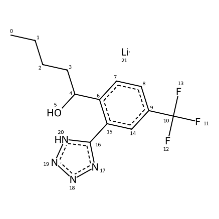 CCCCC(O)c1ccc(C(F)(F)F)cc1-c1nnn[nH]1.[Li]